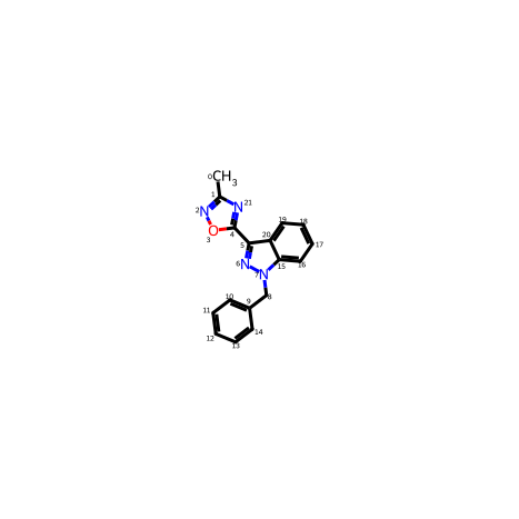 Cc1noc(-c2nn(Cc3ccccc3)c3ccccc23)n1